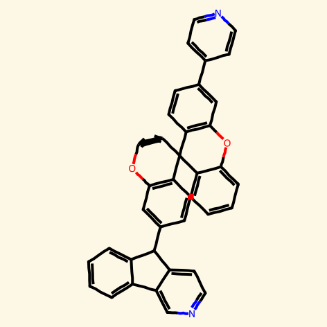 c1ccc2c(c1)Oc1cc(-c3ccncc3)ccc1C21c2ccccc2Oc2cc(C3c4ccccc4-c4cnccc43)ccc21